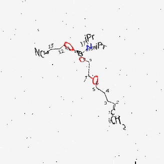 C=C=CCCCOCCOB(OCCC#N)N(C(C)C)C(C)C